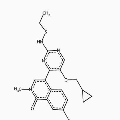 CCSNc1ncc(OCC2CC2)c(-c2cn(C)c(=O)c3cc(F)ccc23)n1